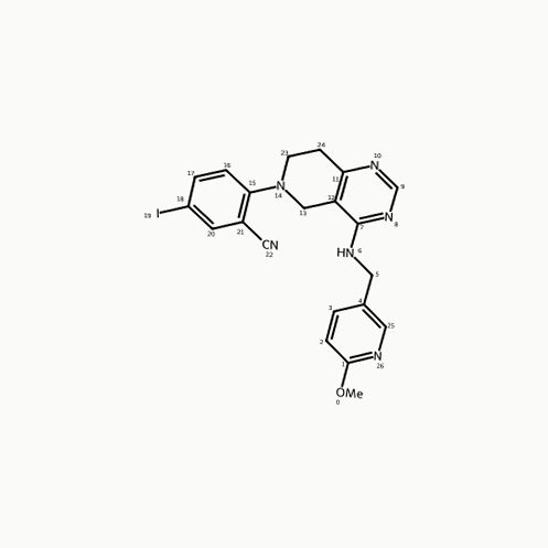 COc1ccc(CNc2ncnc3c2CN(c2ccc(I)cc2C#N)CC3)cn1